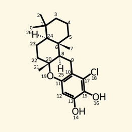 CC1(C)CCC[C@]2(C)[C@H]3Cc4c(cc(O)c(O)c4Cl)O[C@]3(C)CC[C@@H]12